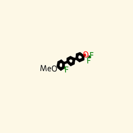 COc1ccc(-c2ccc(-c3ccc(OC(F)F)cc3)cc2)c(F)c1